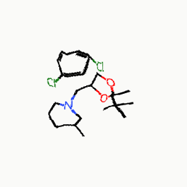 CC1CCCN(CC2COC(C)(C(C)(C)C)O2)C1.Clc1cccc(Cl)c1